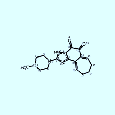 CN1CCN(c2nc3c([nH]2)C(=O)C(=O)C2=CCCCC=C23)CC1